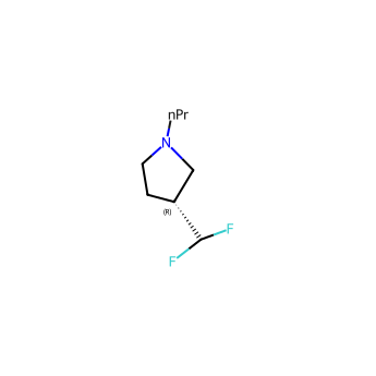 CCCN1CC[C@@H](C(F)F)C1